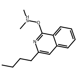 CCCCc1cc2ccccc2c(O[SiH](C)C)n1